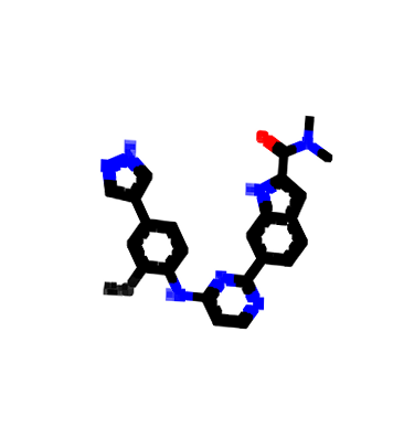 COc1cc(-c2cn[nH]c2)ccc1Nc1ccnc(-c2ccc3cc(C(=O)N(C)C)[nH]c3c2)n1